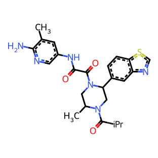 Cc1cc(NC(=O)C(=O)N2CC(C)N(C(=O)C(C)C)CC2c2ccc3scnc3c2)cnc1N